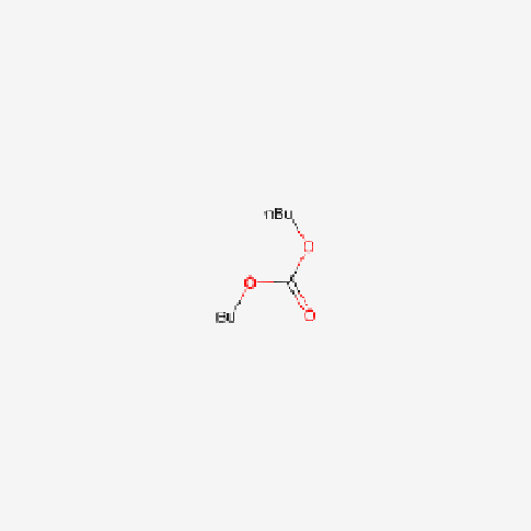 CCC[CH]OC(=O)OC(C)CC